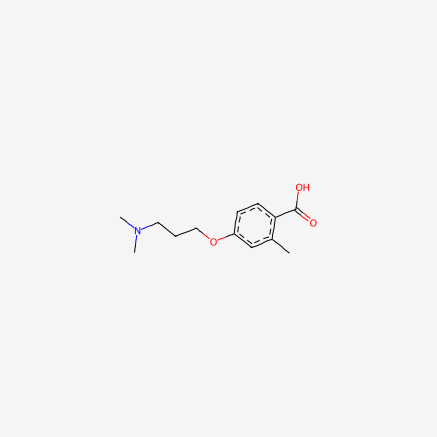 Cc1cc(OCCCN(C)C)ccc1C(=O)O